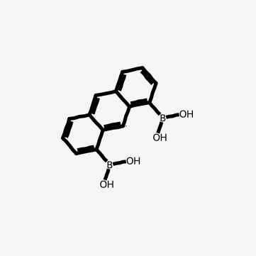 OB(O)c1cccc2cc3cccc(B(O)O)c3[c]c12